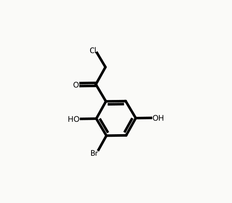 O=C(CCl)c1cc(O)cc(Br)c1O